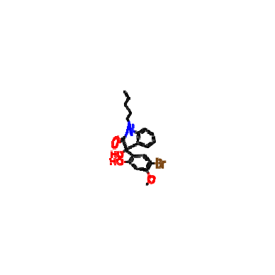 CCCCCN1C(=O)C(O)(c2cc(Br)c(OC)cc2O)c2ccccc21